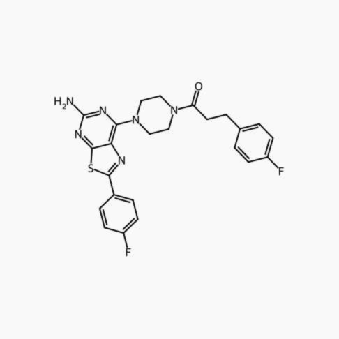 Nc1nc(N2CCN(C(=O)CCc3ccc(F)cc3)CC2)c2nc(-c3ccc(F)cc3)sc2n1